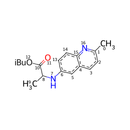 Cc1ccc2cc(NC(C)C(=O)OCC(C)C)ccc2n1